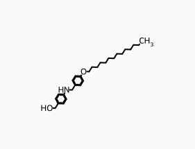 CCCCCCCCCCCCCCOc1ccc(CNc2ccc(CO)cc2)cc1